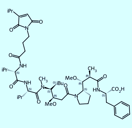 CC[C@H](C)[C@@H]([C@@H](CC(=O)N1CCC[C@H]1[C@H](OC)[C@@H](C)C(=O)N[C@@H](Cc1ccccc1)C(=O)O)OC)N(C)C(=O)[C@@H](NC(=O)[C@@H](NC(=O)CCCN1C(=O)C=C(C(C)C)C1=O)C(C)C)C(C)C